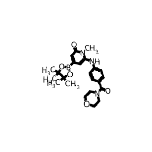 Cn1c(Nc2ccc(C(=O)N3CCOCC3)cc2)cc(B2OC(C)(C)C(C)(C)O2)cc1=O